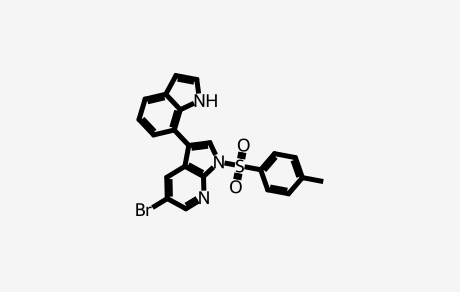 Cc1ccc(S(=O)(=O)n2cc(-c3cccc4cc[nH]c34)c3cc(Br)cnc32)cc1